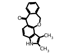 Cc1[nH]c2ccc3c(c2c1C)OCc1ccccc1C3=O